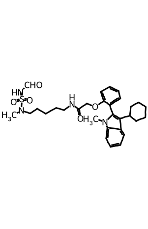 CN(CCCCCNC(=O)COc1ccccc1-c1c(C2CCCCC2)c2ccccc2n1C)S(=O)(=O)NC=O